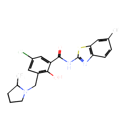 O=C(Nc1nc2ccc(C(F)(F)F)cc2s1)c1cc(Cl)cc(CN2CCCC2C(F)(F)F)c1O